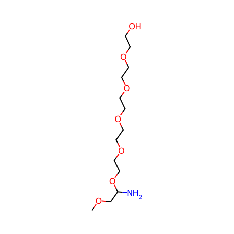 COCC(N)OCCOCCOCCOCCOCCO